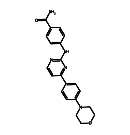 NC(=O)c1ccc(Nc2nccc(-c3ccc(N4CCOCC4)cc3)n2)cc1